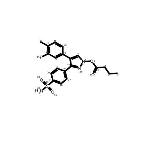 CCCC(=O)On1cc(-c2ccc(C)c(F)c2)c(-c2ccc(S(N)(=O)=O)cc2)n1